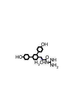 C/C(=C\c1ccc(-c2ccc(O)cc2)cc1-c1ccc(O)cc1)C(=O)NC(=N)N